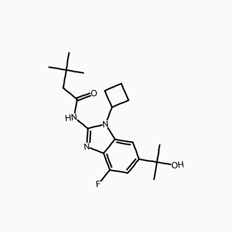 CC(C)(C)CC(=O)Nc1nc2c(F)cc(C(C)(C)O)cc2n1C1CCC1